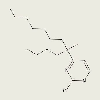 CCCCCCCC(C)(CCCC)c1ccnc(Cl)n1